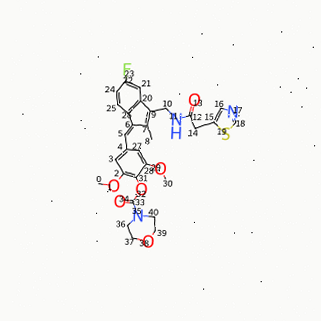 COc1cc(C=C2C(C)=C(CNC(=O)Cc3cncs3)c3cc(F)ccc32)cc(OC)c1OC(=O)N1CCOCC1